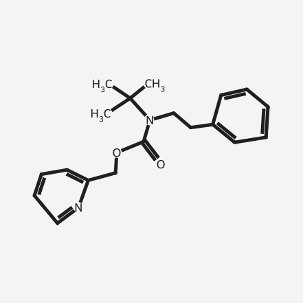 CC(C)(C)N(CCc1ccccc1)C(=O)OCc1ccccn1